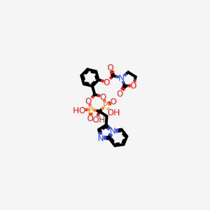 O=C1OCCN1C(=O)Oc1ccccc1C1OP(=O)(O)C(O)(Cc2cnc3ccccn23)P(=O)(O)O1